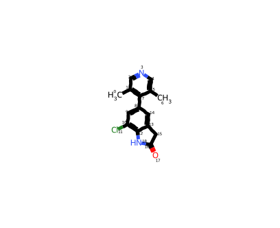 Cc1cncc(C)c1-c1cc(Cl)c2c(c1)CC(=O)N2